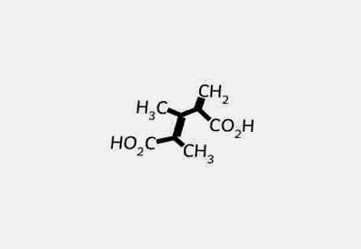 C=C(C(=O)O)C(C)=C(C)C(=O)O